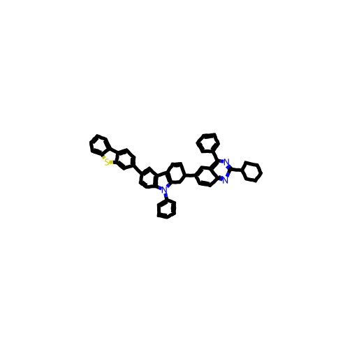 C1=CC(c2ccc3nc(C4CCCCC4)nc(-c4ccccc4)c3c2)Cc2c1c1cc(-c3ccc4c(c3)sc3ccccc34)ccc1n2-c1ccccc1